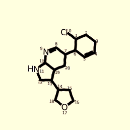 ClC1CCC=CC1C1C=NC2NCC(C3CCOC3)C2C1